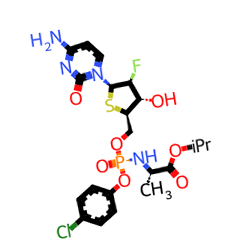 CC(C)OC(=O)[C@H](C)N[P@](=O)(OC[C@H]1S[C@@H](n2ccc(N)nc2=O)[C@@H](F)[C@@H]1O)Oc1ccc(Cl)cc1